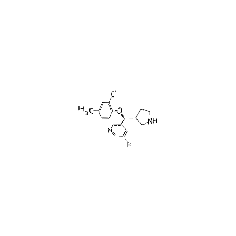 Cc1ccc(O[C@H](c2cncc(F)c2)C2CCNC2)c(Cl)c1